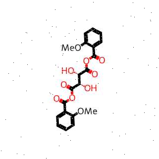 COc1ccccc1C(=O)OC(=O)[C@@H](O)[C@H](O)C(=O)OC(=O)c1ccccc1OC